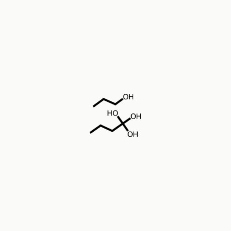 CCCC(O)(O)O.CCCO